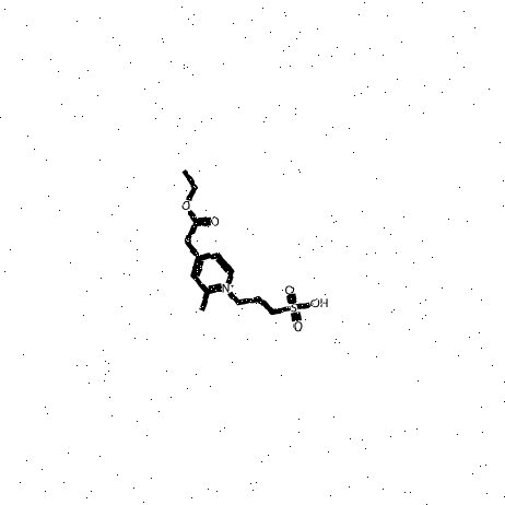 CCOC(=O)Cc1cc[n+](CCCS(=O)(=O)O)c(C)c1